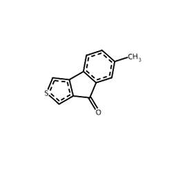 Cc1ccc2c(c1)C(=O)c1cscc1-2